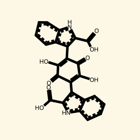 O=C1C(O)=C(c2c(C(=O)O)[nH]c3ccccc23)C(=O)C(O)=C1c1c(C(=O)O)[nH]c2ccccc12